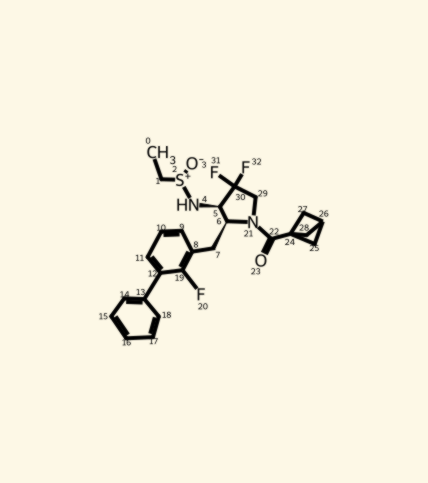 CC[S+]([O-])N[C@@H]1[C@H](Cc2cccc(-c3ccccc3)c2F)N(C(=O)C23CC(C2)C3)CC1(F)F